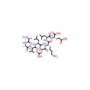 CC(C)C[C@H](NC(=O)[C@H](CCCCN)NC(=O)[C@H](CC(=O)O)NC(=O)[C@H](CC(C)C)NC(=O)[C@@H](NC(=O)[C@H](C)NC(=O)[C@H](C)N)C(C)C)C(=O)N[C@@H](CCC(=O)O)C(=O)O